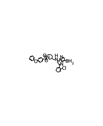 Bc1cnn2c(NCC3CCCN(S(=O)(=O)c4ccc(Oc5ccccc5)cc4)C3)cc(C3=CCCC=C3Cl)nc12